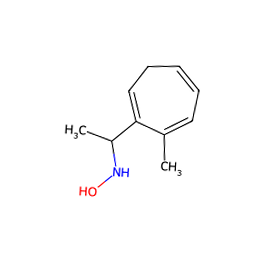 CC1=CC=CCC=C1C(C)NO